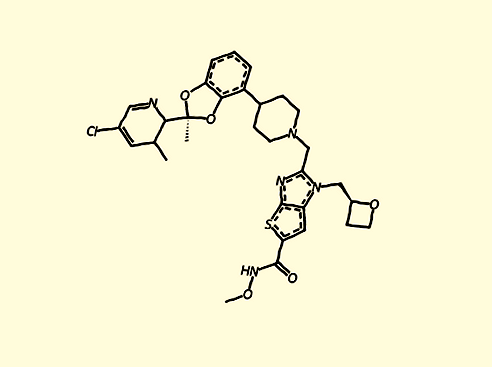 CONC(=O)c1cc2c(nc(CN3CCC(c4cccc5c4O[C@@](C)(C4N=CC(Cl)=CC4C)O5)CC3)n2C[C@@H]2CCO2)s1